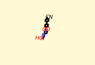 C[C@@H](O)CN(C)[C@@H]1CCN(S(=O)(=O)c2ccc(-c3ccc(C#N)cc3)cc2)C1